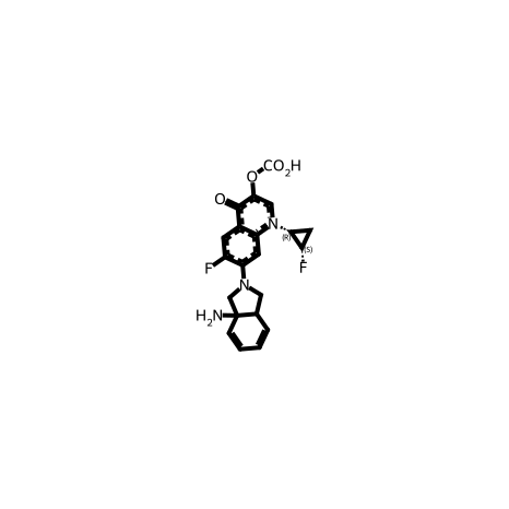 NC12C=CC=CC1CN(c1cc3c(cc1F)c(=O)c(OC(=O)O)cn3[C@@H]1C[C@@H]1F)C2